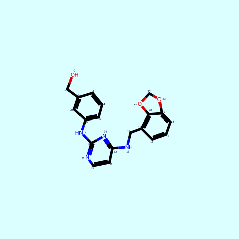 OCc1cccc(Nc2nccc(NCc3cccc4c3OCO4)n2)c1